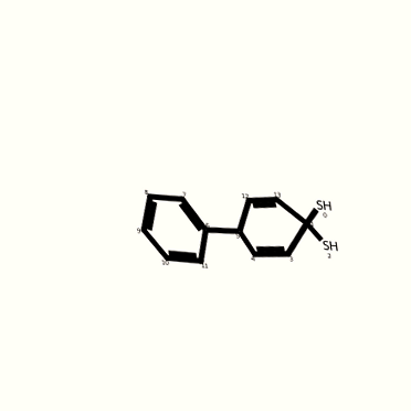 SC1(S)C=CC(c2ccccc2)C=C1